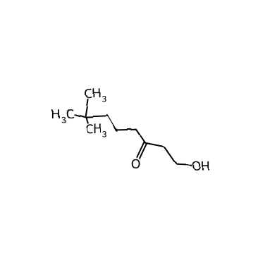 CC(C)(C)CCCC(=O)CCO